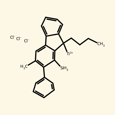 CCCC[C]1([Ti+3])c2ccccc2-c2cc(C)c(-c3ccccc3)c([SiH3])c21.[Cl-].[Cl-].[Cl-]